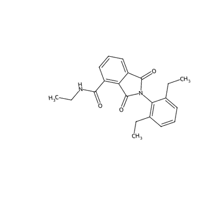 CCNC(=O)c1cccc2c1C(=O)N(c1c(CC)cccc1CC)C2=O